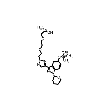 C[C@H](O)COCCOCCn1ncc(-c2nn(C3CCCCO3)c3ccc(O[Si](C)(C)C(C)(C)C)cc23)n1